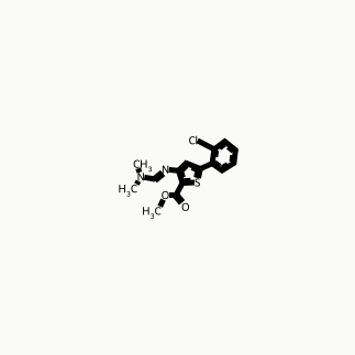 COC(=O)c1sc(-c2ccccc2Cl)cc1/N=C/N(C)C